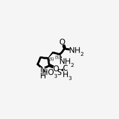 CS(=O)(=O)O.NC(=O)[C@@H](N)C[C@@H]1CCNC1=O